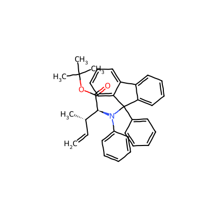 C=C[C@H](C)[C@@H](C(=O)OC(C)(C)C)N(c1ccccc1)C1(c2ccccc2)c2ccccc2-c2ccccc21